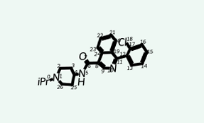 CC(C)N1CCC(NC(=O)c2cnc(-c3ccccc3Cl)c3ccccc23)CC1